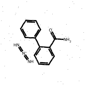 N=[N+]=N.NC(=O)c1ccccc1-c1ccccc1